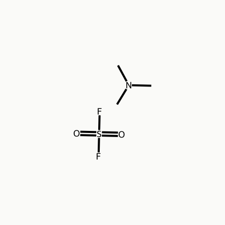 CN(C)C.O=S(=O)(F)F